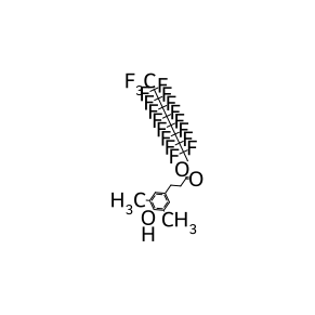 Cc1cc(CCC(=O)OCC(F)(F)C(F)(F)C(F)(F)C(F)(F)C(F)(F)C(F)(F)C(F)(F)C(F)(F)C(F)(F)F)cc(C)c1O